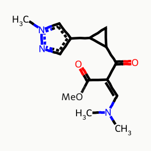 COC(=O)C(=CN(C)C)C(=O)C1CC1c1cnn(C)c1